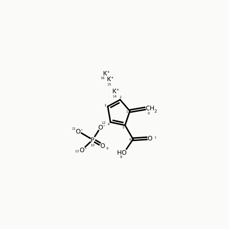 C=C1C=CC=C1C(=O)O.O=P([O-])([O-])[O-].[K+].[K+].[K+]